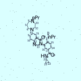 CCCI.CCCN1CCCN(c2ccc3ncn(-c4cc(C(=O)NC5CC5)ccc4C)c(=O)c3c2)CC1